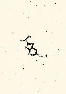 CC(C)N(c1nc2ncc(C(=O)O)cc2[nH]1)C(C)C